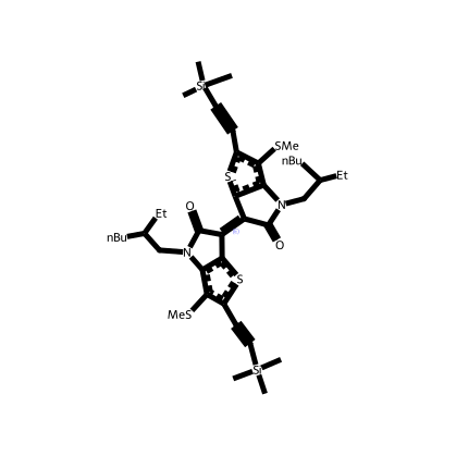 CCCCC(CC)CN1C(=O)/C(=C2/C(=O)N(CC(CC)CCCC)c3c2sc(C#C[Si](C)(C)C)c3SC)c2sc(C#C[Si](C)(C)C)c(SC)c21